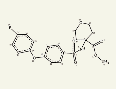 NOC(=O)C1(NS(=O)(=O)c2ccc(Oc3ccc(F)cc3)cc2)CCOCC1